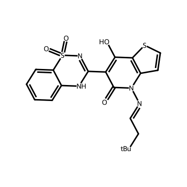 CC(C)(C)CC=Nn1c(=O)c(C2=NS(=O)(=O)c3ccccc3N2)c(O)c2sccc21